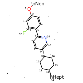 CCCCCCCCCOc1ccc(-c2ccc([C@H]3CC[C@H](CCCCCCC)CC3)cn2)c(F)c1